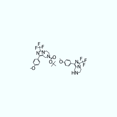 COc1ccc(-c2nc(C(F)(F)F)n3c2CN(C(=O)OC(C)(C)C)CC3)cc1.COc1ccc(-c2nc(C(F)(F)F)n3c2CNCC3)cc1